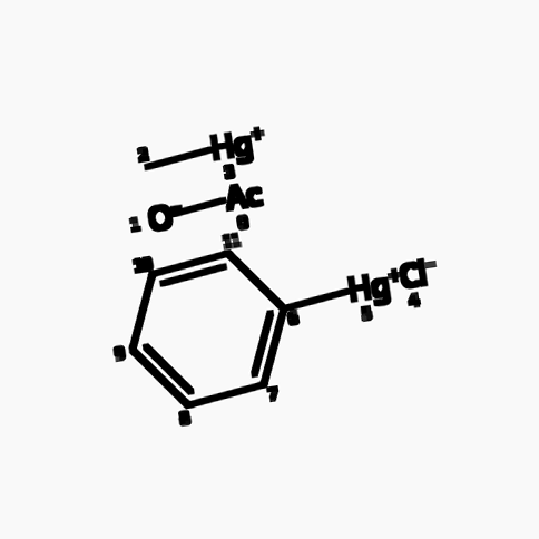 CC(=O)[O-].[CH3][Hg+].[Cl-].[Hg+][c]1ccccc1